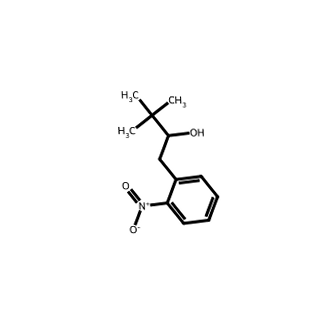 CC(C)(C)C(O)Cc1ccccc1[N+](=O)[O-]